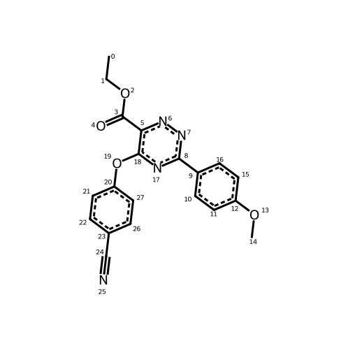 CCOC(=O)c1nnc(-c2ccc(OC)cc2)nc1Oc1ccc(C#N)cc1